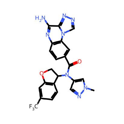 Cn1cc(N(C(=O)c2ccc3nc(N)c4nncn4c3c2)C2COc3cc(C(F)(F)F)ccc32)cn1